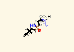 C#CC(C)(C)CCS(=N)(=O)CC[C@H](N)C(=O)O